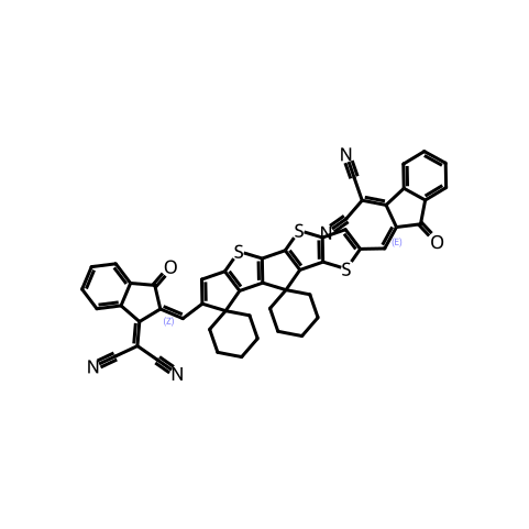 N#CC(C#N)=C1/C(=C/C2=Cc3sc4c(c3C23CCCCC3)C2(CCCCC2)c2c-4sc3cc(/C=C4/C(=O)c5ccccc5C4=C(C#N)C#N)sc23)C(=O)c2ccccc21